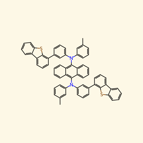 Cc1cccc(N(c2cccc(-c3cccc4c3sc3ccccc34)c2)c2c3ccccc3c(N(c3cccc(C)c3)c3cccc(-c4cccc5c4sc4ccccc45)c3)c3ccccc23)c1